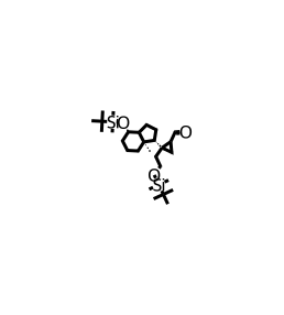 CC(C)(C)[Si](C)(C)OCCC1([C@H]2CCC3[C@@H](O[Si](C)(C)C(C)(C)C)CCC[C@@]32C)CC1C=O